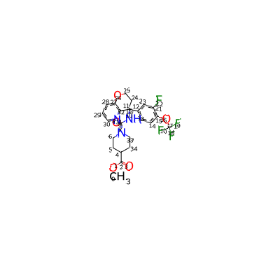 COC(=O)C1CCN(C(=O)N[C@]2(c3ccc(OC(F)(F)F)c(F)c3)CCOc3cccnc32)CC1